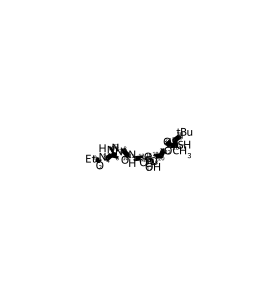 CCC(=O)NCc1cn(CC(=O)NCCOP(=O)(O)OCCCOC(=O)C(C)(S)CCC(C)(C)C)nn1